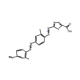 C=Nc1ccc(/N=N/c2ccc(/N=N/c3nnc(C(=O)O)s3)c(C)c2)c(C)c1